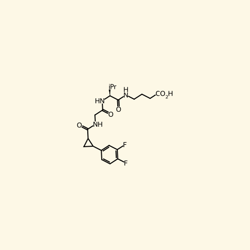 CC(C)[C@H](NC(=O)CNC(=O)C1CC1c1ccc(F)c(F)c1)C(=O)NCCCC(=O)O